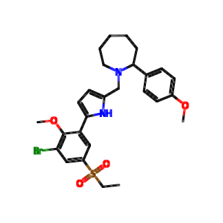 CCS(=O)(=O)c1cc(Br)c(OC)c(-c2ccc(CN3CCCCCC3c3ccc(OC)cc3)[nH]2)c1